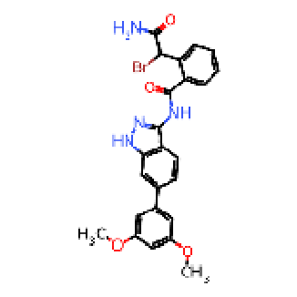 COc1cc(OC)cc(-c2ccc3c(NC(=O)c4ccccc4C(Br)C(N)=O)n[nH]c3c2)c1